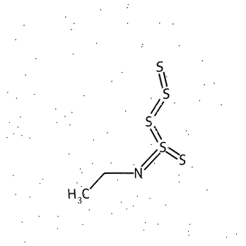 CCN=S(=S)=S=S=S